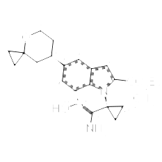 CCOC(=O)c1cc2cc([C@@H]3CCOC4(CC4)C3)ccc2n1[C@]1(C(N)=NO)C[C@H]1C